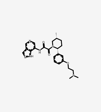 C[C@@H]1CC[C@H](c2cccc(OCCN(C)C)c2)N(C(=O)C(=O)Nc2cncc3cn[nH]c23)C1